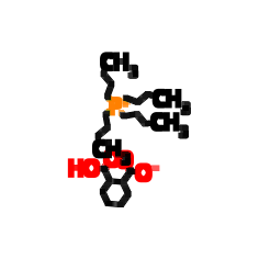 CCCC[P+](CCCC)(CCCC)CCCC.O=C([O-])C1CCCCC1C(=O)O